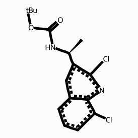 C[C@H](NC(=O)OC(C)(C)C)c1cc2cccc(Cl)c2nc1Cl